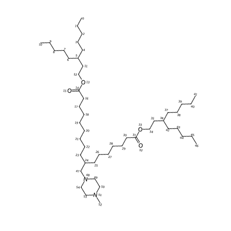 CCCCCC(CCCCC)CCOC(=O)CCCCCCCCC(CCCCCCC(=O)OCCC(CCCCC)CCCCC)CN1CCN(C)CC1